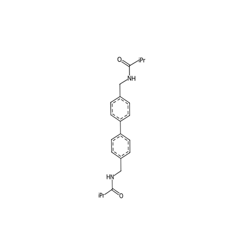 CC(C)C(=O)NCc1ccc(-c2ccc(CNC(=O)C(C)C)cc2)cc1